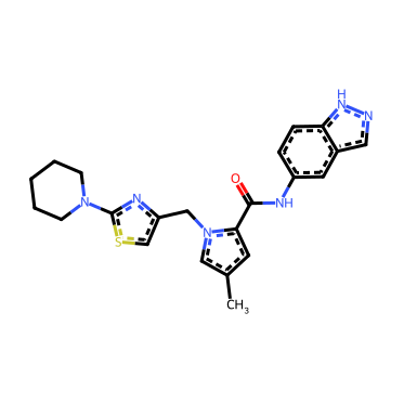 Cc1cc(C(=O)Nc2ccc3[nH]ncc3c2)n(Cc2csc(N3CCCCC3)n2)c1